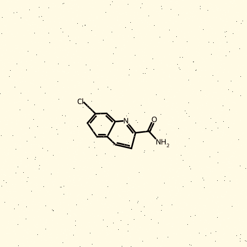 NC(=O)c1c[c]c2ccc(Cl)cc2n1